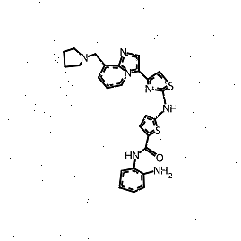 Nc1ccccc1NC(=O)c1ccc(Nc2nc(-c3cnc4c(CN5CCCC5)cccn34)cs2)s1